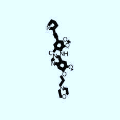 COc1cc2c(Nc3c(Cl)cc(C#Cc4ccccn4)c4c3OCO4)ncnc2cc1OCCCN1CCOCC1